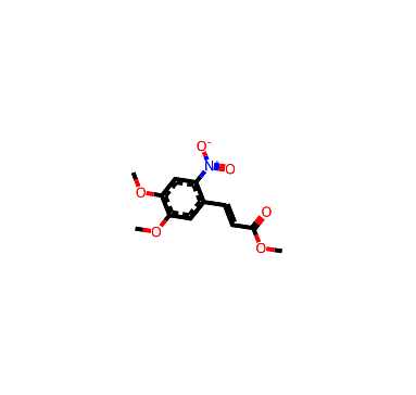 COC(=O)C=Cc1cc(OC)c(OC)cc1[N+](=O)[O-]